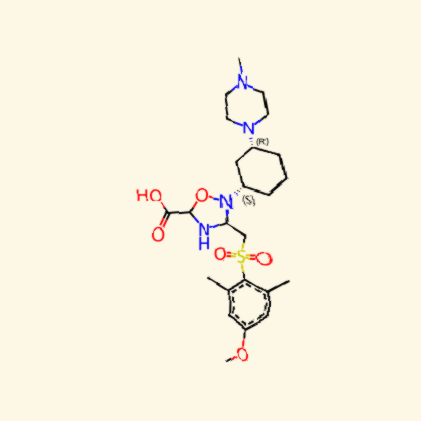 COc1cc(C)c(S(=O)(=O)CC2NC(C(=O)O)ON2[C@H]2CCC[C@@H](N3CCN(C)CC3)C2)c(C)c1